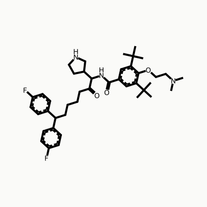 CN(C)CCOc1c(C(C)(C)C)cc(C(=O)NC(C(=O)CCCCC(c2ccc(F)cc2)c2ccc(F)cc2)C2CCNC2)cc1C(C)(C)C